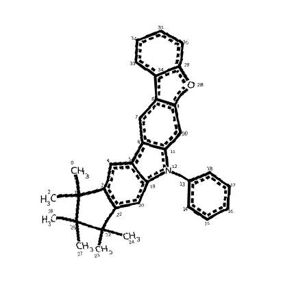 CC1(C)c2cc3c4cc5c(cc4n(-c4ccccc4)c3cc2C(C)(C)C1(C)C)oc1ccccc15